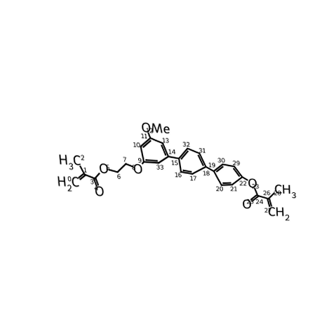 C=C(C)C(=O)OCCOc1cc(OC)cc(-c2ccc(-c3ccc(OC(=O)C(=C)C)cc3)cc2)c1